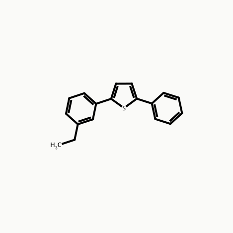 CCc1cccc(-c2ccc(-c3ccccc3)s2)c1